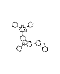 c1ccc(-c2nc(-c3ccccc3)nc(-c3ccc4c(c3)c3cc(-c5ccc6c(c5)-c5ccccc5C6)ccc3n4-c3ccccc3)n2)cc1